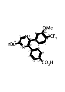 CCCCc1cnc(-c2ccc(C(F)(F)F)c(OC)c2)c(-c2ccc(C(=O)O)cc2)n1